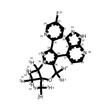 [2H]C1([2H])OC(C([2H])([2H])[2H])(C([2H])([2H])[2H])C([2H])([2H])n2nc(-c3ccc(F)cn3)c(-c3ccnc4[nH]ncc34)c21